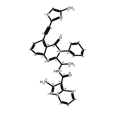 Cc1csc(C#Cc2cccc3nc(C(C)NC(=O)c4c(N)nn5cccnc45)n(-c4ccccc4)c(=O)c23)n1